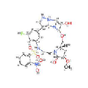 CO[C@@H]1C[C@H]2COc3nc4c(cnn4cc3O)-c3cc(F)cc(c3)N(S(=O)(=O)c3ccccc3[N+](=O)[O-])CCN2C1=O